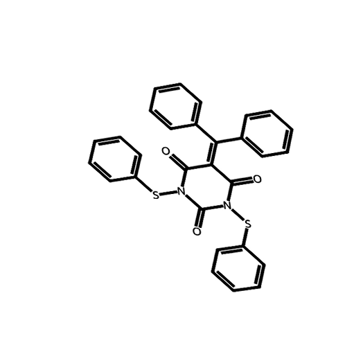 O=C1C(=C(c2ccccc2)c2ccccc2)C(=O)N(Sc2ccccc2)C(=O)N1Sc1ccccc1